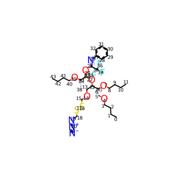 CCCCOC[C@@H](OCCCC)C(COCSSCN=[N+]=[N-])O[C@@H](O/C(=N/c1ccccc1)C(F)(F)F)[C@H](C)OCCCC